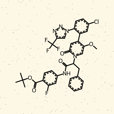 COc1cn(C(Cc2ccccc2)C(=O)Nc2ccc(C(=O)OC(C)(C)C)c(F)c2)c(=O)cc1-c1cc(Cl)ccc1-n1cc(C(F)(F)F)nn1